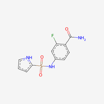 NC(=O)c1ccc(NS(=O)(=O)c2ccc[nH]2)cc1F